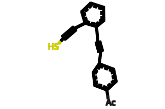 CC(=O)c1ccc(C#Cc2ccccc2C#CS)cc1